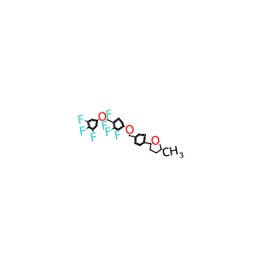 CC1CCC(c2ccc(COc3ccc(C(F)(F)Oc4cc(F)c(F)c(F)c4)c(F)c3F)cc2)OC1